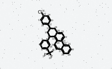 FC(F)(F)c1cccc(C2CC(c3ccc(Cl)cc3)Cc3ccc4c(ccc5ccccc54)c32)c1